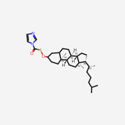 CC(C)CCC[C@@H](C)[C@H]1CC[C@H]2[C@@H]3CCC4CC(OSC(=O)n5ccnc5)CC[C@]4(C)[C@H]3CC[C@]12C